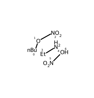 CCCCO[N+](=O)[O-].CCN.O=[N+]([O-])O